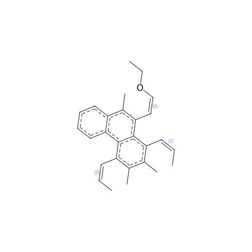 C/C=C\c1c(C)c(C)c(/C=C\C)c2c1c(/C=C\OCC)c(C)c1ccccc12